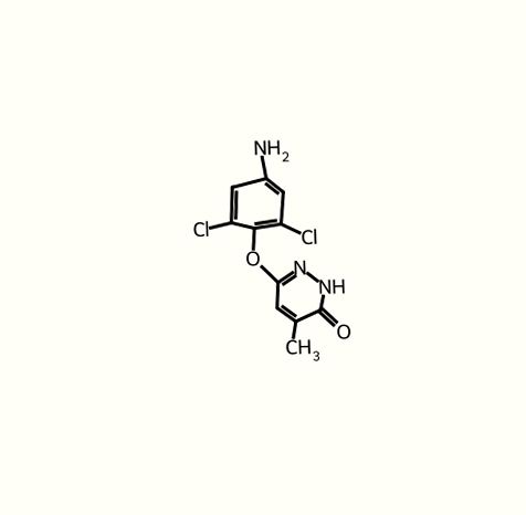 Cc1cc(Oc2c(Cl)cc(N)cc2Cl)n[nH]c1=O